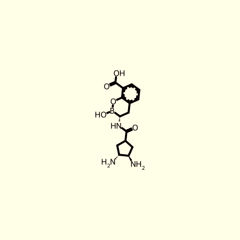 N[C@@H]1CC(C(=O)N[C@H]2Cc3cccc(C(=O)O)c3OB2O)C[C@H]1N